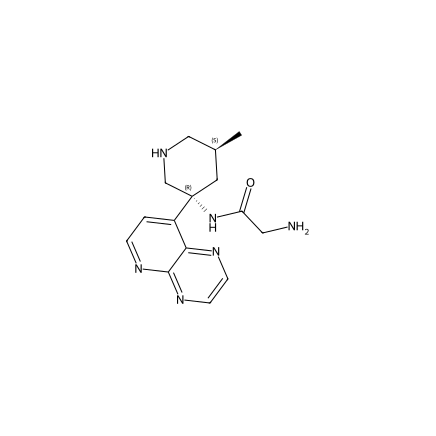 C[C@@H]1CNC[C@](NC(=O)CN)(c2ccnc3nccnc23)C1